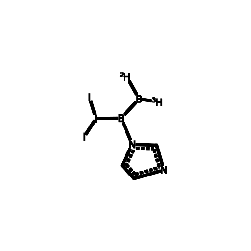 [2H]B([3H])B(n1ccnc1)I(I)I